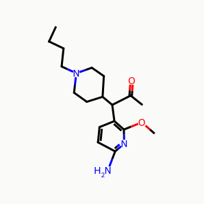 CCCCN1CCC(C(C(C)=O)c2ccc(N)nc2OC)CC1